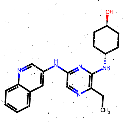 CCc1ncc(Nc2cnc3ccccc3c2)nc1N[C@H]1CC[C@H](O)CC1